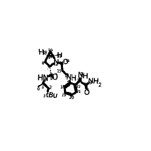 C[C@H](CC(C)(C)C)NC(=O)[C@@H]1C[C@H]2C[C@H]2N1C(=O)CNc1ccccc1C(=N)C(N)=O